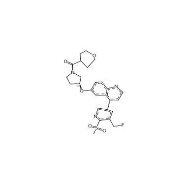 CS(=O)(=O)c1ncc(-c2ccnc3ccc(O[C@H]4CCN(C(=O)C5CCOCC5)C4)cc23)cc1CF